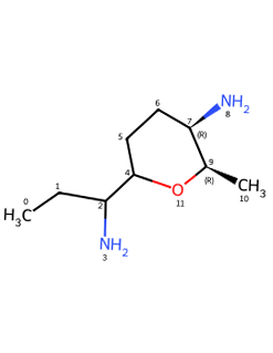 CCC(N)C1CC[C@@H](N)[C@@H](C)O1